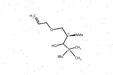 C=CCOC[C@@H](NC)C(O)[Si](C)(C)C(C)(C)C